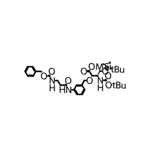 COC(=O)[C@@H](OCc1cccc(NC(=O)CCNC(=O)OCc2ccccc2)c1)[C@@H](CO[Si](C)(C)C(C)(C)C)NC(=O)OC(C)(C)C